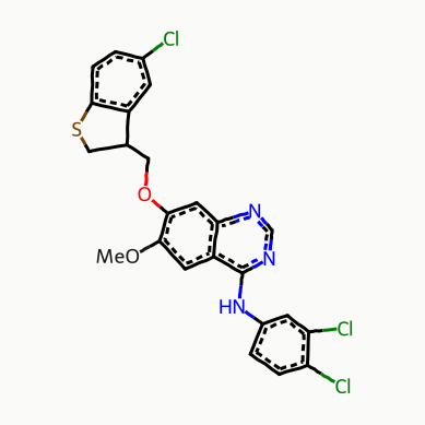 COc1cc2c(Nc3ccc(Cl)c(Cl)c3)ncnc2cc1OCC1CSc2ccc(Cl)cc21